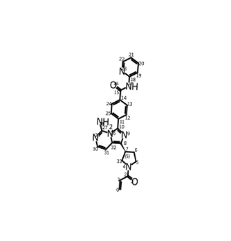 C=CC(=O)N1CC[C@H](c2nc(-c3ccc(C(=O)Nc4ccccn4)cc3)n3c(N)nccc23)C1